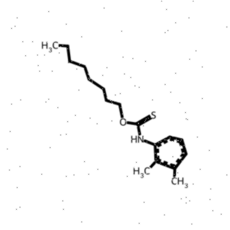 CCCCCCCCOC(=S)Nc1cccc(C)c1C